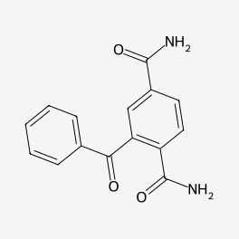 NC(=O)c1ccc(C(N)=O)c(C(=O)c2ccccc2)c1